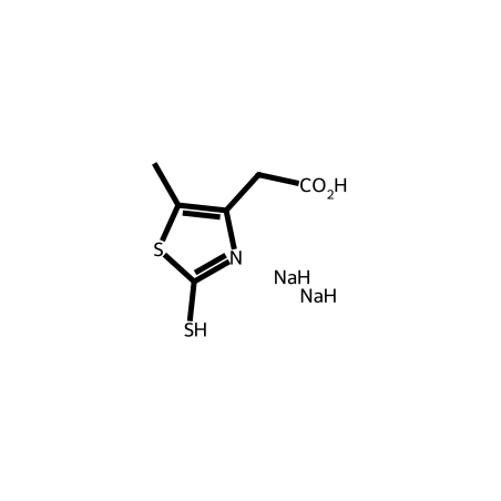 Cc1sc(S)nc1CC(=O)O.[NaH].[NaH]